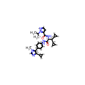 CC(C)n1nccc1C(=O)N[C@H](C(=O)Nc1ccc(-c2c(C3CC3)ncn2C)cc1)C(C1CC1)C1CC1